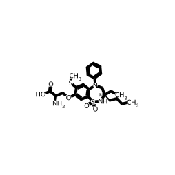 CCCC[C@]1(CC)CN(c2ccccc2)c2cc(SC)c(OCC(N)C(=O)O)cc2S(=O)(=O)N1